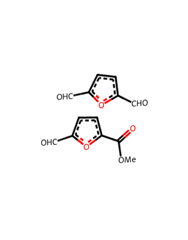 COC(=O)c1ccc(C=O)o1.O=Cc1ccc(C=O)o1